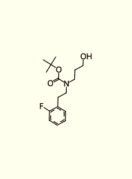 CC(C)(C)OC(=O)N(CCCO)CCc1ccccc1F